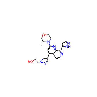 C[C@@H]1COCCN1c1cc(-c2cnn(CCO)c2)c2ccnc(-c3ccn[nH]3)c2n1